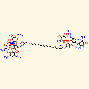 NCC1O[C@H](OC2C(N)C[C@@H](N)C(O)[C@H]2O[C@@H]2O[C@H](Cn3cc(COCCCCCCCCCCCCOCc4cn(C[C@H]5O[C@@H](O[C@H]6C(O[C@H]7OC(CN)C(O)[C@H](O)C7N)C(N)C[C@@H](N)C6O)[C@@H](O)C5O[C@H]5O[C@@H](CN)C(O)C(O)C5N)nn4)nn3)C(O[C@H]3O[C@@H](CN)C(O)C(O)C3N)[C@@H]2O)C(N)[C@@H](O)C1O